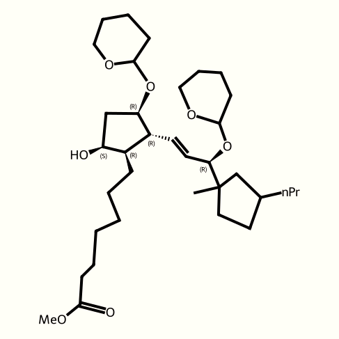 CCCC1CCC(C)([C@@H](C=C[C@@H]2[C@@H](CCCCCCC(=O)OC)[C@@H](O)C[C@H]2OC2CCCCO2)OC2CCCCO2)C1